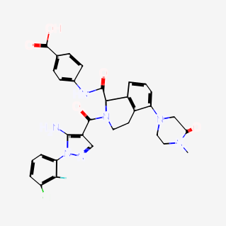 CN1CCN(c2cccc3c2CCN(C(=O)c2cnn(-c4cccc(Cl)c4F)c2N)C3C(=O)Nc2ccc(C(=O)O)cc2)CC1=O